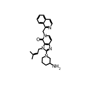 CC(C)=CCn1c(N2CCCC(N)C2)nc2ccn(Cc3nccc4ccccc34)c(=O)c21